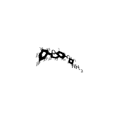 N[C@H]1C[C@@H](Oc2ccc3c(c2)CCC(c2ccccc2)O3)C1